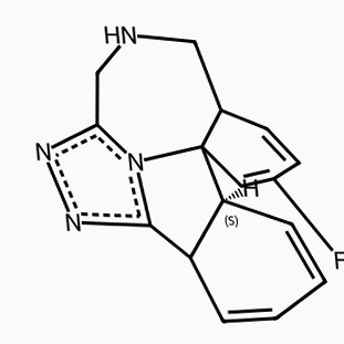 FC1=CC23C(C=C1)CNCc1nnc(n12)C1C=CC=C[C@@H]13